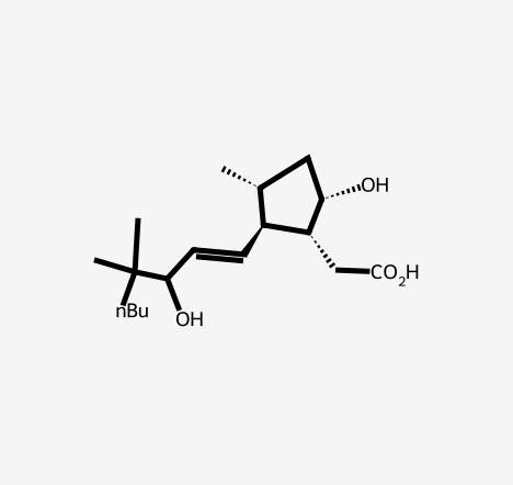 CCCCC(C)(C)C(O)/C=C/[C@@H]1[C@@H](CC(=O)O)[C@@H](O)C[C@H]1C